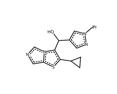 CC(C)n1cc(C(O)c2c(C3CC3)sc3cncn23)cn1